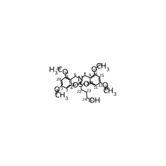 COc1ccc(CN(Cc2ccc(OC)cc2OC)S(=O)(=O)CCCO)c(OC)c1